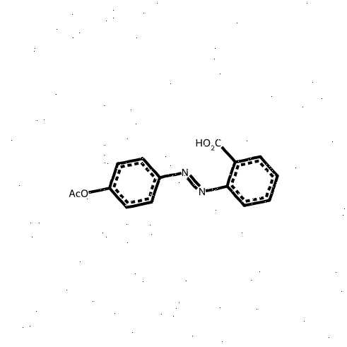 CC(=O)Oc1ccc(N=Nc2ccccc2C(=O)O)cc1